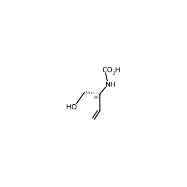 C=C[C@H](CO)NC(=O)O